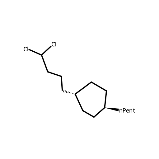 CCCCC[C@H]1CC[C@H](CCCC(Cl)Cl)CC1